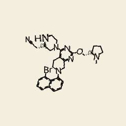 CN1CCC[C@H]1COc1nc2c(c(N3CCN[C@@H](CC#N)C3)n1)CCN(c1cccc3cccc(Br)c13)C2